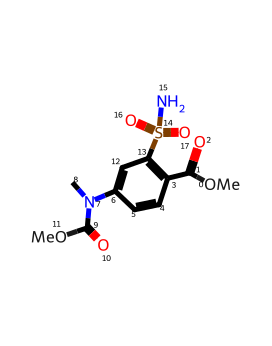 COC(=O)c1ccc(N(C)C(=O)OC)cc1S(N)(=O)=O